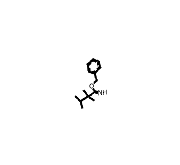 CC(C)C(C)(C)C(=N)OCc1ccccc1